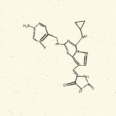 Bc1ccc(CNc2nc(NC3CC3)n3ncc(/C=C4\NC(=O)NC4=O)c3n2)c(F)c1